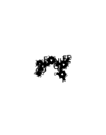 Cc1cc(F)ccc1Oc1ccc(C(F)(F)F)cc1C(=O)Nc1ccc(F)c(CC(C)(C)c2cccn2C(=O)OC(C)(C)C)c1